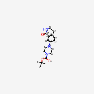 CC(C)(C)OC(=O)N1CCN(c2ccc3c(c2)C(=O)NCC3)CC1